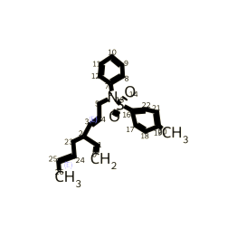 C=CC(/C=C/CN(c1ccccc1)S(=O)(=O)c1ccc(C)cc1)C/C=C/C